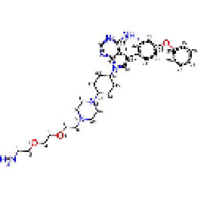 NCCOCCOCCN1CCN(C2CCC(n3cc(-c4ccc(Oc5ccccc5)cc4)c4c(N)ncnc43)CC2)CC1